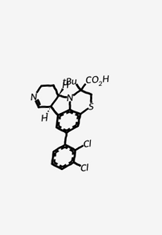 CC(C)(C)C1(C(=O)O)CSc2cc(-c3cccc(Cl)c3Cl)cc3c2N1[C@H]1CCN=C[C@H]31